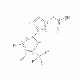 O=C(O)Cc1coc(-c2cc(F)c(F)c(C(F)(F)F)c2)n1